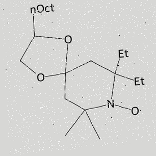 CCCCCCCCC1COC2(CC(C)(C)N([O])C(CC)(CC)C2)O1